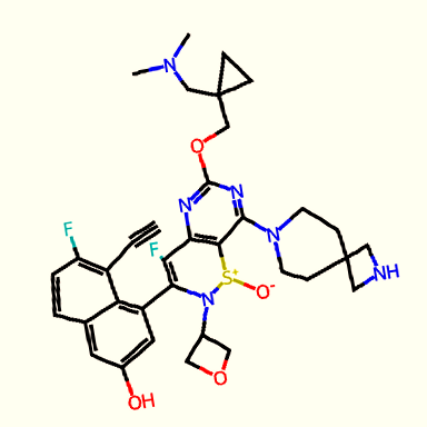 C#Cc1c(F)ccc2cc(O)cc(C3=C(F)c4nc(OCC5(CN(C)C)CC5)nc(N5CCC6(CC5)CNC6)c4[S+]([O-])N3C3COC3)c12